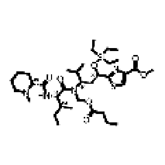 CCCC(=O)OCN(C(=O)[C@@H](NC(=O)[C@H]1CCCCN1C)[C@@H](C)CC)[C@H](C[C@@H](O[Si](CC)(CC)CC)c1nc(C(=O)OC)cs1)C(C)C